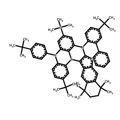 CC(C)(C)c1ccc(N2c3ccc(C(C)(C)C)cc3B3c4c2cc([Si](C)(C)C)cc4N(c2ccc(C(C)(C)C)cc2-c2ccccc2)c2oc4cc5c(cc4c23)C(C)(C)CCC5(C)C)cc1